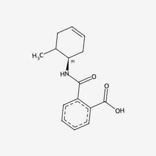 CC1CC=CC[C@H]1NC(=O)c1ccccc1C(=O)O